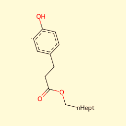 CCCCCCCCOC(=O)CCc1c[c]c(O)cc1